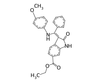 CCOC(=O)c1ccc2c(c1)NC(=O)/C2=C(/Nc1ccc(OC)cc1)c1ccccc1